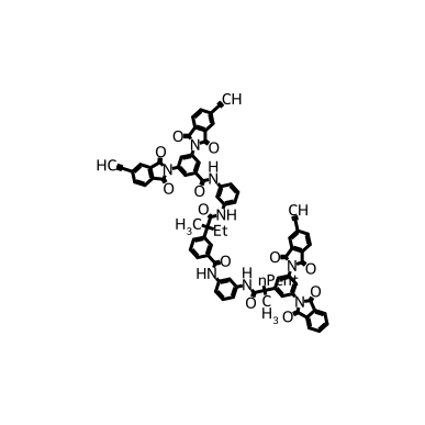 C#Cc1ccc2c(c1)C(=O)N(c1cc(C(=O)Nc3cccc(NC(=O)C(C)(CC)c4cccc(C(=O)Nc5cccc(NC(=O)C(C)(CCCCC)c6cc(N7C(=O)c8ccccc8C7=O)cc(N7C(=O)c8ccc(C#C)cc8C7=O)c6)c5)c4)c3)cc(N3C(=O)c4ccc(C#C)cc4C3=O)c1)C2=O